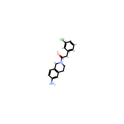 Nc1ccc2c(c1)CCN(C(=O)Cc1cccc(Cl)c1)C2